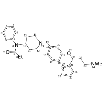 CCC(=O)N(c1ccccc1)C1CCN(Cc2cccc(OC(CCNC)c3cccs3)c2)CC1